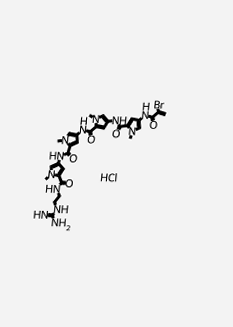 C=C(Br)C(=O)Nc1cc(C(=O)Nc2cc(C(=O)Nc3cc(C(=O)Nc4cc(C(=O)NCCNC(=N)N)n(C)c4)n(C)c3)n(C)c2)n(C)c1.Cl